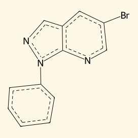 Brc1cnc2c(cnn2-c2ccccc2)c1